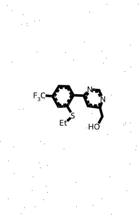 CCSc1cc(C(F)(F)F)ccc1-c1cc(CO)ncn1